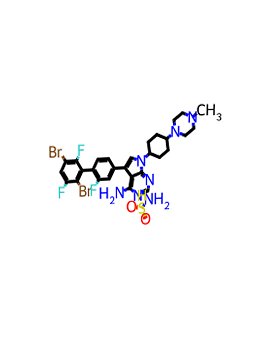 CN1CCN(C2CCC(n3cc(-c4ccc(-c5c(F)c(Br)cc(F)c5Br)c(F)c4)c4c(N)ncnc43)CC2)CC1.N[SH](=O)=O